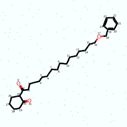 O=C(CCCCCCCCCCCCCCCOCc1ccccc1)C1CCCCC1=O